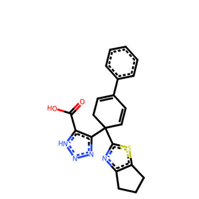 O=C(O)c1[nH]nnc1C1(c2nc3c(s2)CCC3)C=CC(c2ccccc2)=CC1